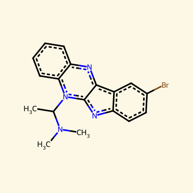 CC(N(C)C)n1c2nc3ccc(Br)cc3c-2nc2ccccc21